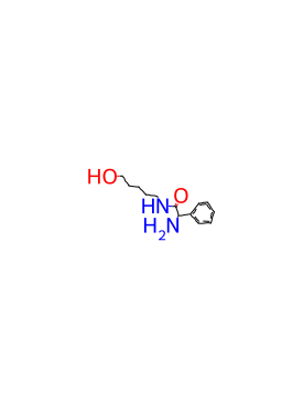 NC(C(=O)NCCCCCO)c1ccccc1